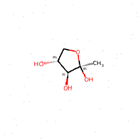 C[C@@]1(O)OC[C@@H](O)[C@@H]1O